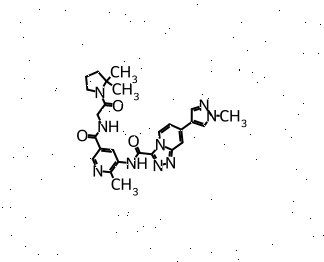 Cc1ncc(C(=O)NCC(=O)N2CCCC2(C)C)cc1NC(=O)c1nnc2cc(-c3cnn(C)c3)ccn12